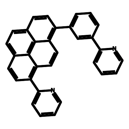 c1ccc(-c2cccc(-c3ccc4ccc5ccc(-c6ccccn6)c6ccc3c4c56)c2)nc1